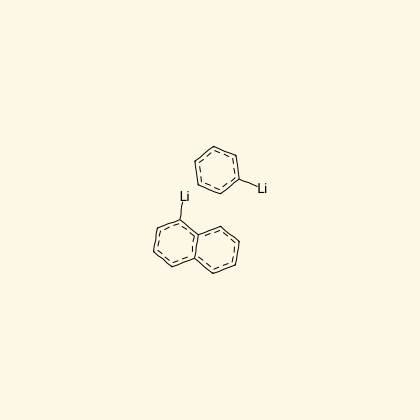 [Li][c]1cccc2ccccc12.[Li][c]1ccccc1